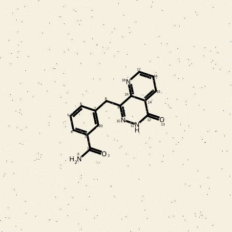 NC(=O)c1cccc(Cc2n[nH]c(=O)c3cccnc23)c1